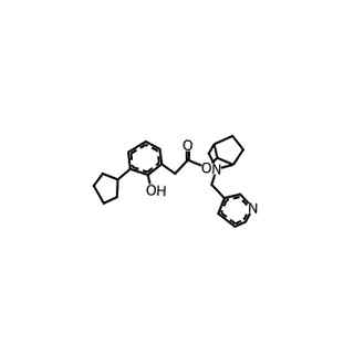 O=C(Cc1cccc(C2CCCC2)c1O)OC1C2CCC1N(Cc1cccnc1)C2